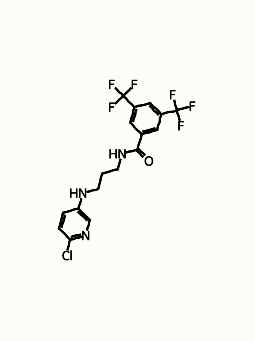 O=C(NCCCNc1ccc(Cl)nc1)c1cc(C(F)(F)F)cc(C(F)(F)F)c1